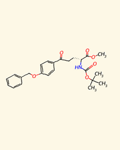 COC(=O)[C@@H](CCC(=O)c1ccc(OCc2ccccc2)cc1)NC(=O)OC(C)(C)C